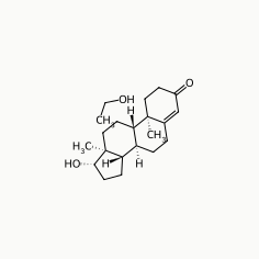 CCO.C[C@]12CC[C@H]3[C@@H](CCC4=CC(=O)CC[C@@]43C)[C@@H]1CC[C@@H]2O